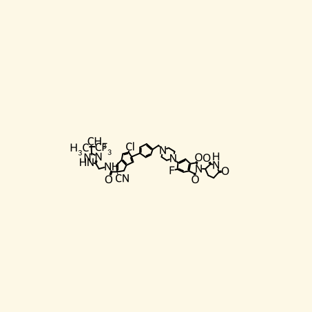 CC(C)(c1n[nH]c(CNC(=O)[C@@]2(C#N)Cc3cc(Cl)c(-c4ccc(CN5CCN(c6cc7c(cc6F)C(=O)N(C6CCC(=O)NC6=O)C7=O)CC5)cc4)cc3C2)n1)C(F)(F)F